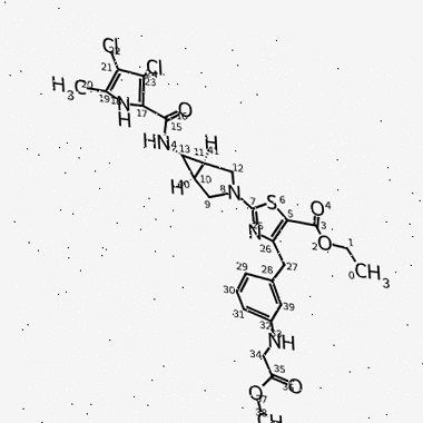 CCOC(=O)c1sc(N2C[C@@H]3[C@H](C2)[C@H]3NC(=O)c2[nH]c(C)c(Cl)c2Cl)nc1Cc1cccc(NCC(=O)OC)c1